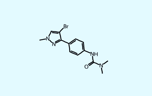 CN(C)C(=O)Nc1ccc(-c2nn(C)cc2Br)cc1